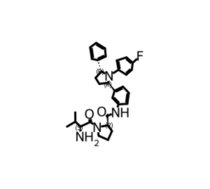 CC(C)[C@H](N)C(=O)N1CCC[C@@H]1C(=O)Nc1cccc([C@H]2CC[C@H](c3ccccc3)N2c2ccc(F)cc2)c1